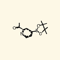 CC(=O)c1cc(B2OC(C)(C)C(C)(C)O2)ccn1